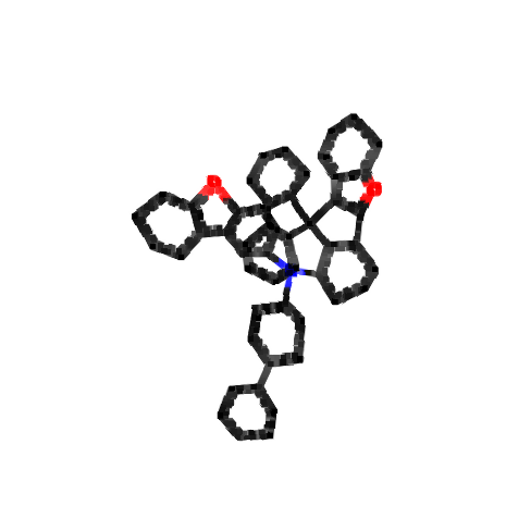 c1ccc(-c2ccc(N(c3ccc4oc5ccccc5c4c3)c3cccc4c3C3(c5ccccc5-c5ccccc53)c3c-4oc4ccccc34)cc2)cc1